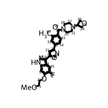 COCCOc1cc2[nH]nc(-c3cc(-c4ccc(C(=O)N5CCN(C6COC6)CC5)c(C)c4)no3)c2cc1F